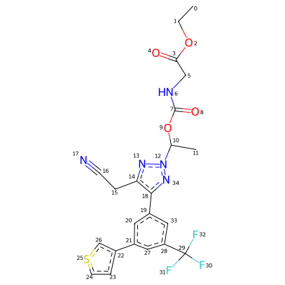 CCOC(=O)CNC(=O)OC(C)n1nc(CC#N)c(-c2cc(-c3ccsc3)cc(C(F)(F)F)c2)n1